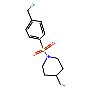 CC(C)C1CCN(S(=O)(=O)c2ccc(CBr)cc2)CC1